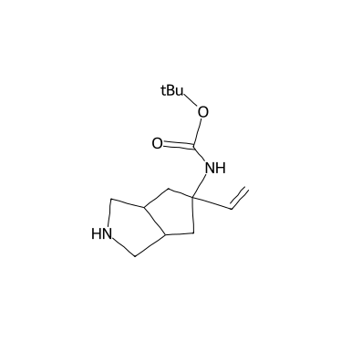 C=CC1(NC(=O)OC(C)(C)C)CC2CNCC2C1